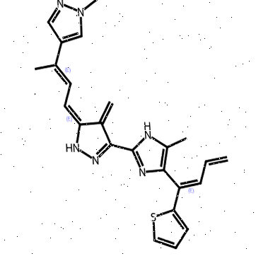 C=C/C=C(/c1cccs1)c1nc(-c2n[nH]/c(=C/C=C(\C)c3cnn(C)c3)c2=C)[nH]c1C